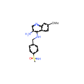 COc1ccc2c(NCc3ccc(S(C)(=N)=O)cc3)c(N)cnc2c1